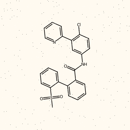 CS(=O)(=O)c1ccccc1-c1ccccc1C(=O)Nc1ccc(Cl)c(-c2ccccn2)c1